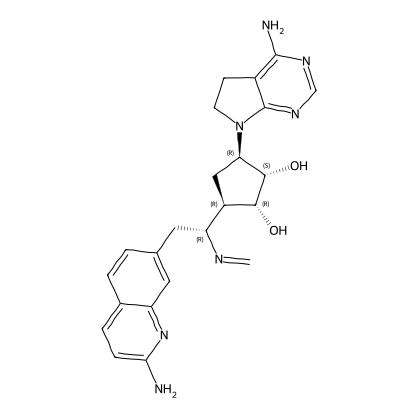 C=N[C@H](Cc1ccc2ccc(N)nc2c1)[C@H]1C[C@@H](N2CCc3c(N)ncnc32)[C@H](O)[C@@H]1O